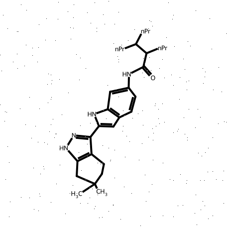 CCCC(CCC)C(CCC)C(=O)Nc1ccc2cc(-c3n[nH]c4c3CCC(C)(C)C4)[nH]c2c1